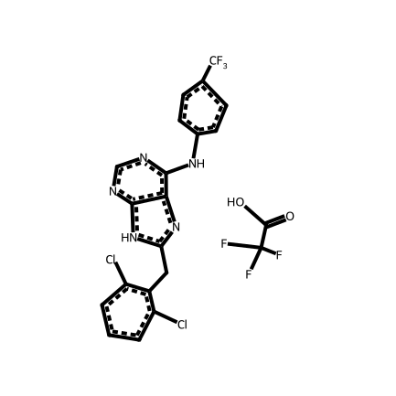 FC(F)(F)c1ccc(Nc2ncnc3[nH]c(Cc4c(Cl)cccc4Cl)nc23)cc1.O=C(O)C(F)(F)F